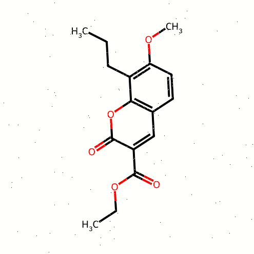 CCCc1c(OC)ccc2cc(C(=O)OCC)c(=O)oc12